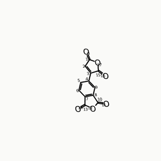 O=C1C=C(c2ccc3c(c2)C(=O)OC3=O)C(=O)O1